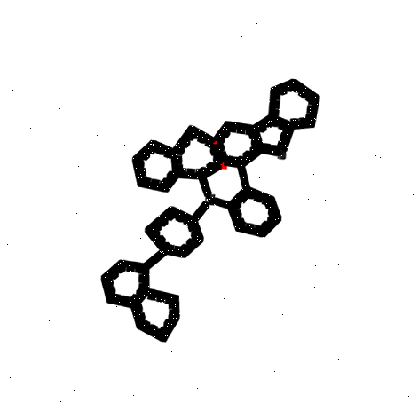 c1ccc(N(c2ccc(-c3cccc4ccccc34)cc2)c2cccc3ccccc23)c(-c2cccc3c2sc2ccccc23)c1